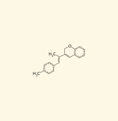 CC(=Cc1ccc(C)cc1)C1=Cc2ccccc2OC1